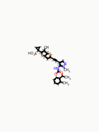 Cc1ccccc1C(C)OC(=O)Nc1c(C#Cc2cc3sc(C4(C(=O)O)CC4)c(C#N)c3s2)cnn1C